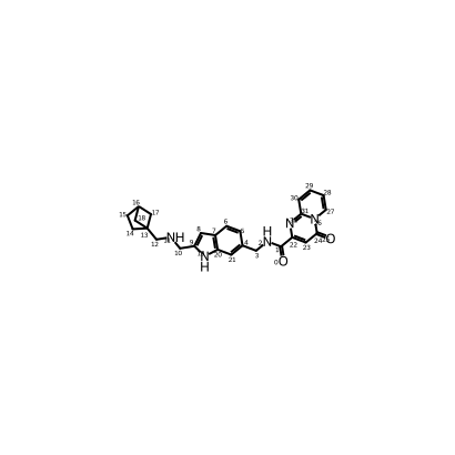 O=C(NCc1ccc2cc(CNCC34CCC(C3)C4)[nH]c2c1)c1cc(=O)n2ccccc2n1